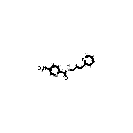 O=C(NC/C=C/c1ccccn1)c1ccc([N+](=O)[O-])cn1